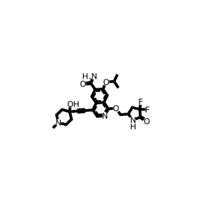 CC(C)Oc1cc2c(OCC3CC(F)(F)C(=O)N3)ncc(C#CC3(O)CCN(C)CC3)c2cc1C(N)=O